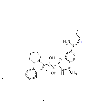 C[C@@H](NC(=O)[C@H](O)[C@@H](O)C(=O)N1CCCCC1c1ccccc1)c1ccc(N(N)/C=C\CI)cc1